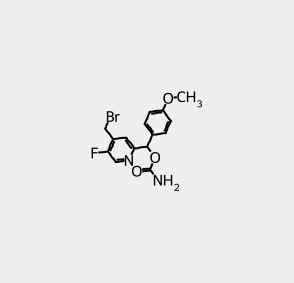 COc1ccc(C(OC(N)=O)c2cc(CBr)c(F)cn2)cc1